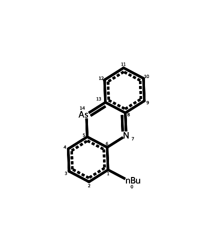 CCCCc1cccc2c1N=c1ccccc1=[As]2